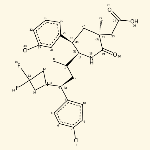 CC(C[C@@H](c1ccc(Cl)cc1)N1CC(F)(F)C1)[C@@H]1NC(=O)[C@](C)(CC(=O)O)C[C@@H]1c1cccc(Cl)c1